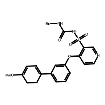 COC1=CC=C(c2cccc(Oc3ccncc3S(=O)(=O)NC(=O)NC(C)(C)C)c2)CC1